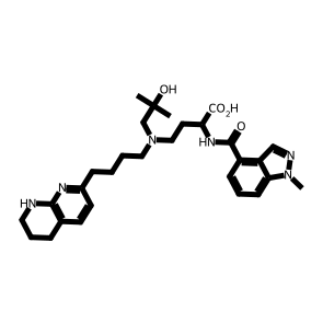 Cn1ncc2c(C(=O)NC(CCN(CCCCc3ccc4c(n3)NCCC4)CC(C)(C)O)C(=O)O)cccc21